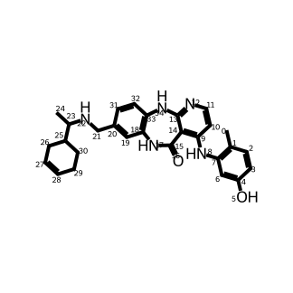 Cc1ccc(O)cc1Nc1ccnc2c1C(=O)Nc1cc(CNC(C)C3CC=CCC3)ccc1N2